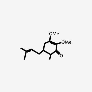 COC1=C(OC)C(=O)C(C)C(CC=C(C)C)C1